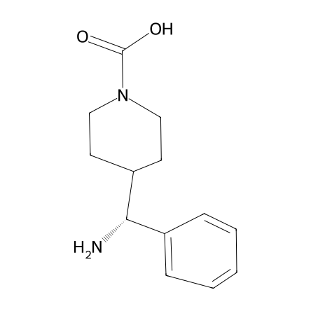 N[C@@H](c1ccccc1)C1CCN(C(=O)O)CC1